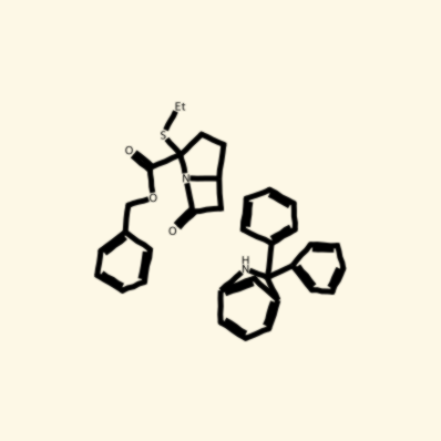 CCSC1(C(=O)OCc2ccccc2)CCC2CC(=O)N21.c1ccc(C2(c3ccccc3)Nc3cccc2c3)cc1